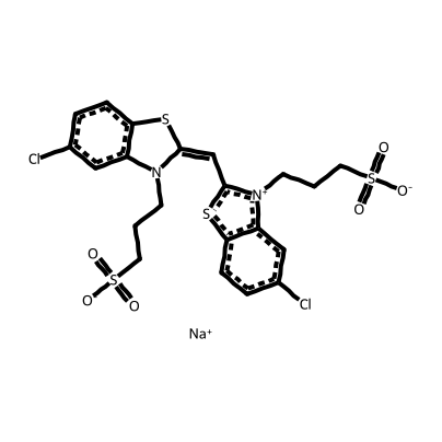 O=S(=O)([O-])CCCN1C(=Cc2sc3ccc(Cl)cc3[n+]2CCCS(=O)(=O)[O-])Sc2ccc(Cl)cc21.[Na+]